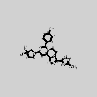 Cc1nsc(-c2nnc3n2CCN(C(=O)c2ccc(F)cc2)C3CCN2CCC(F)(F)C2)n1